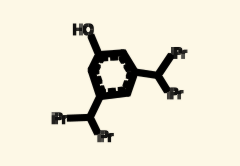 CC(C)C(c1cc(O)cc(C(C(C)C)C(C)C)c1)C(C)C